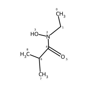 CCN(O)C(=O)C(C)C